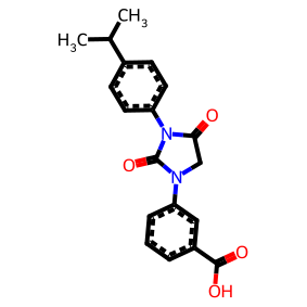 CC(C)c1ccc(N2C(=O)CN(c3cccc(C(=O)O)c3)C2=O)cc1